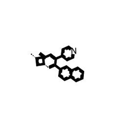 C=C(Cl)/C=C(\C(=C/[C@H]1C[C@@H](C)C1)c1ccc2ccccc2c1)c1ccncc1